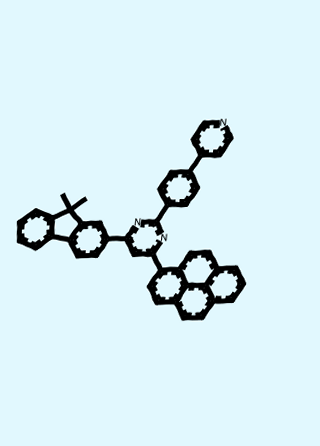 CC1(C)c2ccccc2-c2ccc(-c3cc(-c4ccc5ccc6cccc7ccc4c5c67)nc(-c4ccc(-c5ccncc5)cc4)n3)cc21